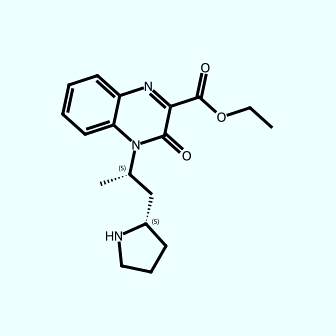 CCOC(=O)c1nc2ccccc2n([C@@H](C)C[C@@H]2CCCN2)c1=O